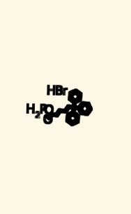 Br.O=C(CCCCC(c1ccccc1)(c1ccccc1)c1ccccc1)OP